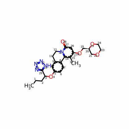 CCCC(Oc1ccc2c(c1)CCn1c-2c(C)c(OC[C@@H]2COCCO2)cc1=O)c1nnn[nH]1